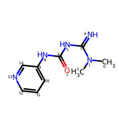 CN(C)C(=N)NC(=O)Nc1cccnc1